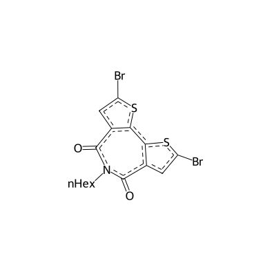 CCCCCCn1c(=O)c2cc(Br)sc2c2sc(Br)cc2c1=O